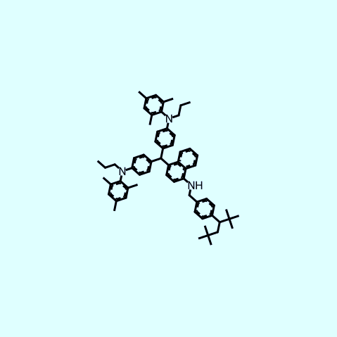 CCCN(c1ccc(C(c2ccc(N(CCC)c3c(C)cc(C)cc3C)cc2)c2ccc(NCc3ccc(C(CC(C)(C)C)C(C)(C)C)cc3)c3ccccc23)cc1)c1c(C)cc(C)cc1C